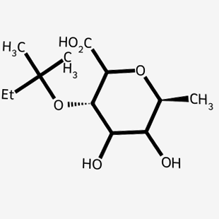 CCC(C)(C)O[C@@H]1C(C(=O)O)O[C@@H](C)C(O)C1O